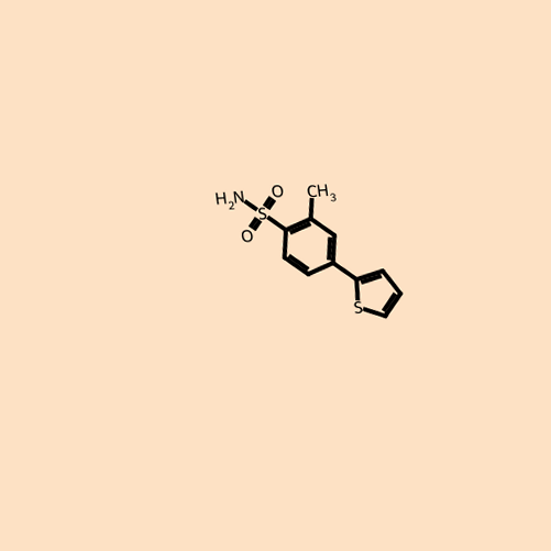 Cc1cc(-c2cccs2)ccc1S(N)(=O)=O